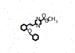 COC(=O)c1cnc(/C=C/c2ccccc2OCc2ccccc2)cn1